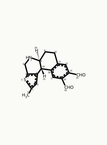 Cc1cc2c(s1)CN[C@H]1CCc3cc(C=O)c(C=O)cc3[C@H]21